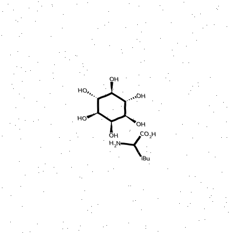 CCC(C)C(N)C(=O)O.O[C@H]1[C@H](O)[C@@H](O)[C@H](O)[C@@H](O)[C@H]1O